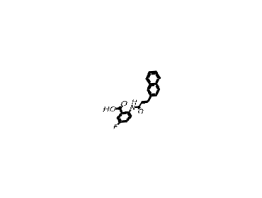 O=C(C=Cc1ccc2ccccc2c1)Nc1ccc(F)cc1C(=O)O